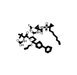 C=CCCCCCC1(S(=O)(=O)NC(=O)[C@@]2(NC(=O)[C@@H]3C[C@@](SCC=C)(c4ccc(-c5ccccc5)cc4)CN3C(=O)[C@@H](NC(=O)O)C(C)(C)C)C[C@H]2C(F)F)CC1